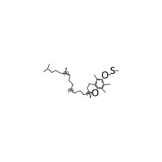 CSCOc1c(C)c(C)c2c(c1C)CC[C@@](C)(CCC[C@H](C)CCC[C@H](C)CCCC(C)C)O2